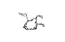 CCCCc1c(Br)cccc1C(=O)O